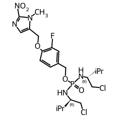 CC(C)[C@H](CCl)NP(=O)(N[C@@H](CCl)C(C)C)OCc1ccc(OCc2cnc([N+](=O)[O-])n2C)c(F)c1